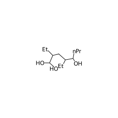 CCCC(O)C(CC)CC(CC)C(O)O